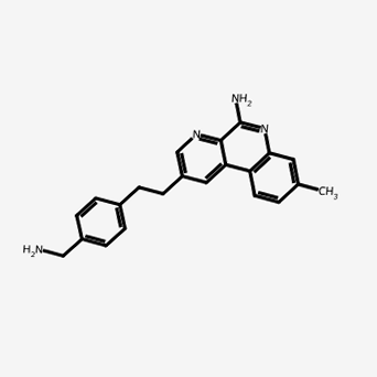 Cc1ccc2c(c1)nc(N)c1ncc(CCc3ccc(CN)cc3)cc12